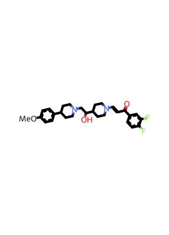 COc1ccc(C2CCN(CC(O)C3CCN(C=CC(=O)c4ccc(F)c(F)c4)CC3)CC2)cc1